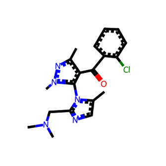 Cc1nn(C)c(-n2c(C)cnc2CN(C)C)c1C(=O)c1ccccc1Cl